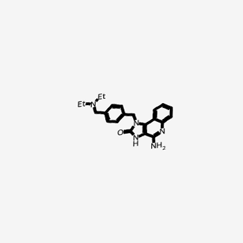 CCN(CC)Cc1ccc(Cn2c(=O)[nH]c3c(N)nc4ccccc4c32)cc1